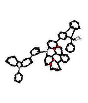 CC1(c2ccccc2)c2ccccc2-c2ccc(-c3ccc(N(c4cccc(-c5ccc6c(c5)c5ccccc5n6-c5ccccc5)c4)c4ccccc4-c4cccc5cccc(-c6ccccc6)c45)cc3)cc21